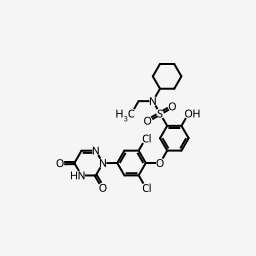 CCN(C1CCCCC1)S(=O)(=O)c1cc(Oc2c(Cl)cc(-n3ncc(=O)[nH]c3=O)cc2Cl)ccc1O